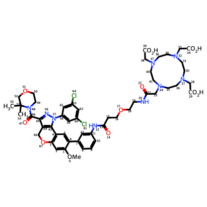 COc1cc2c(cc1-c1cccc(NC(=O)CCOCCNC(=O)CN3CCN(CC(=O)O)CCN(CC(=O)O)CCN(CC(=O)O)CC3)c1)-c1c(c(C(=O)N3CCOCC3(C)C)nn1-c1cc(Cl)cc(Cl)c1)CO2